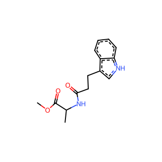 COC(=O)C(C)NC(=O)CCc1c[nH]c2ccccc12